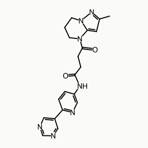 Cc1cc2n(n1)CCCN2C(=O)CCC(=O)Nc1ccc(-c2cncnc2)nc1